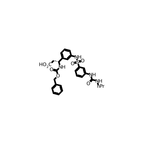 CCCNC(=O)Nc1cccc(S(=O)(=O)Nc2cccc([C@@H](CC(=O)O)NC(=O)OCc3ccccc3)c2)c1